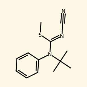 CSC(=NC#N)N(c1ccccc1)C(C)(C)C